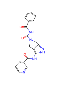 O=C(NC(=O)N1Cc2n[nH]c(NC(=O)c3cccnc3)c2C1)c1ccccc1